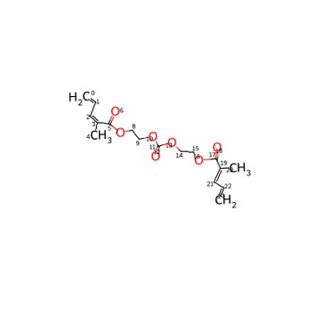 C=CC=C(C)C(=O)OCCOC(=O)OCCOC(=O)C(C)=CC=C